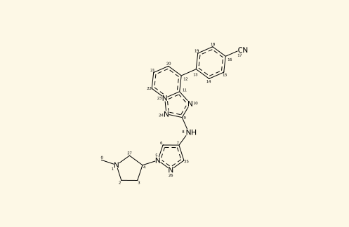 CN1CCC(n2cc(Nc3nc4c(-c5ccc(C#N)cc5)cccn4n3)cn2)C1